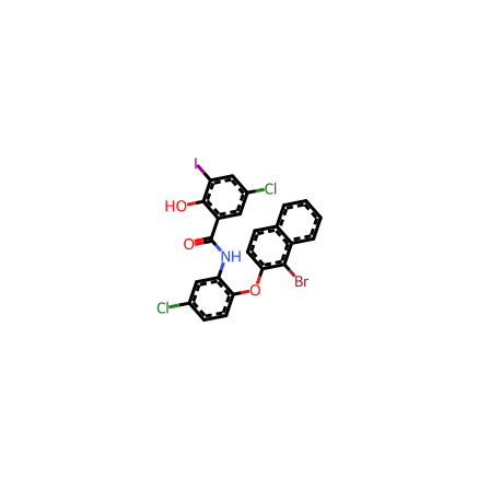 O=C(Nc1cc(Cl)ccc1Oc1ccc2ccccc2c1Br)c1cc(Cl)cc(I)c1O